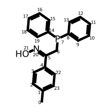 Cc1ccc(C(CP(c2ccccc2)c2ccccc2)=NO)cc1